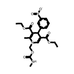 CCOC(=O)C1=CN(COC(=O)NC)C(C)=C(C(=O)OCC)C1c1cccc([N+](=O)[O-])c1